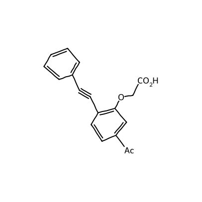 CC(=O)c1ccc(C#Cc2ccccc2)c(OCC(=O)O)c1